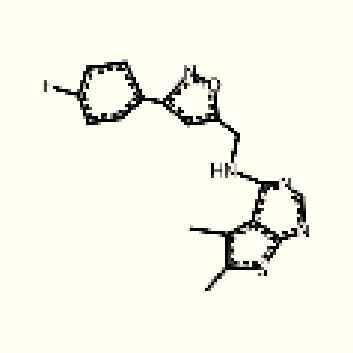 Cc1sc2ncnc(NCc3cc(-c4ccc(F)cc4)no3)c2c1C